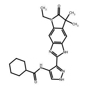 CCN1C(=O)C(C)(C)c2cc3[nH]c(-c4n[nH]cc4NC(=O)C4CCCCC4)nc3cc21